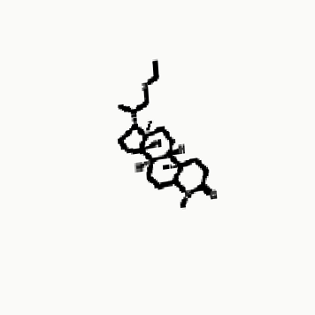 CCSCC(C)[C@H]1CC[C@H]2[C@@H]3CCC4N(C)C(=O)CC[C@]4(C)[C@H]3CC[C@]12C